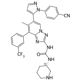 Cc1c(-c2ccnn2-c2ccc(C#N)cc2)cn2nc(NC(=O)N[C@H]3CCCNC3)nc2c1-c1cccc(C(F)(F)F)c1